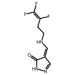 O=C1NN=C/C1=C/NCCC(F)=C(F)F